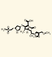 COCc1cn([C@H](C)[C@H]2C(=O)N3C(C(=O)O)=C(S[C@@H]4CN[C@H](CCS(N)(=O)=O)C4)[C@H](C)[C@H]23)nn1